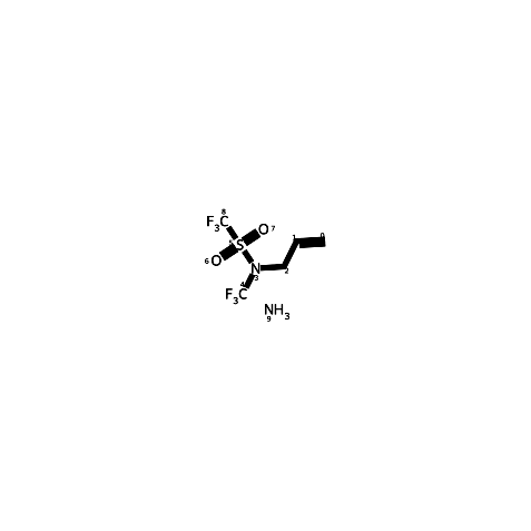 C=CCN(C(F)(F)F)S(=O)(=O)C(F)(F)F.N